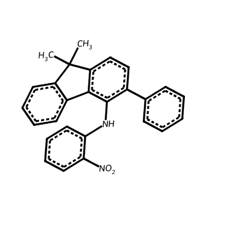 CC1(C)c2ccccc2-c2c1ccc(-c1ccccc1)c2Nc1ccccc1[N+](=O)[O-]